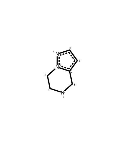 c1cc2n(n1)CC[N]C2